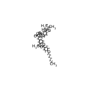 CCCCCCCOc1ccc(C(=O)Oc2ccc(CC(NC(=O)c3cccc(NC(=O)C(C)C)c3)C(=O)O)cc2OC)cc1